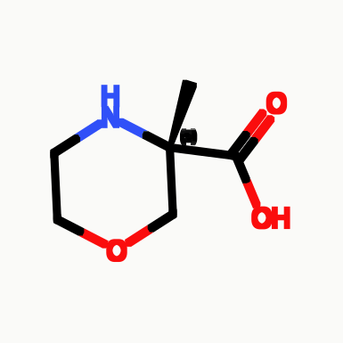 C[C@@]1(C(=O)O)COCCN1